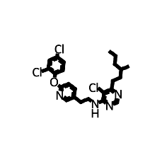 CCCC(C)CCc1ncnc(NCCc2ccc(Oc3ccc(Cl)cc3Cl)nc2)c1Cl